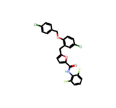 O=C(Nc1c(F)cccc1F)c1ccc(Cc2cc(Cl)ccc2OCc2ccc(Cl)cc2)o1